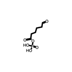 O=CCCCCC(=O)OP(=O)(O)O